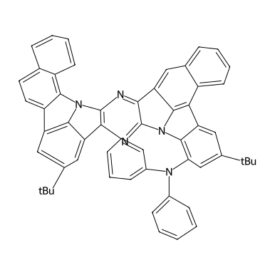 CC(C)(C)c1cc(N(c2ccccc2)c2ccccc2)c2c(c1)c1c3ccccc3cc3c4nc5c(nc4n2c31)c1cc(C(C)(C)C)cc2c3ccc4ccccc4c3n5c21